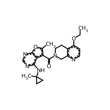 CCOc1ccnc2c1CCN(C(=O)c1c(C)oc3ncnc(NC4(C)CC4)c13)C2